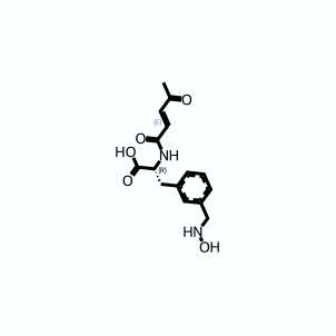 CC(=O)/C=C/C(=O)N[C@H](Cc1cccc(CNO)c1)C(=O)O